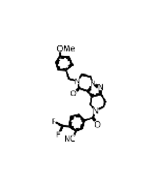 COc1ccc(CN2CCn3nc4c(c3C2=O)CN(C(=O)c2ccc(C(F)F)c(C#N)c2)CC4)cc1